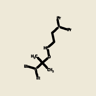 CCN(CC)C(C)(C)OPCCP(C(C)C)C(C)C